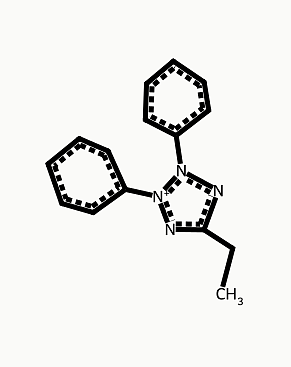 CCc1nn(-c2ccccc2)[n+](-c2ccccc2)n1